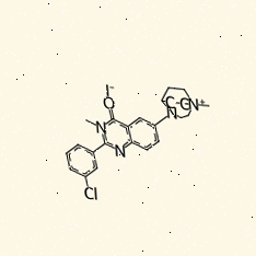 Cn1c(-c2cccc(Cl)c2)nc2ccc(N3CC[N+]4(C)CCC3CC4)cc2c1=O.[I-]